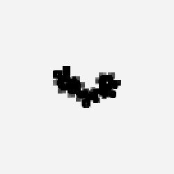 CN(Cc1cn(C)c2c(F)cccc12)C(=O)/C=C/c1cnc2c(c1)CCC(=O)N2